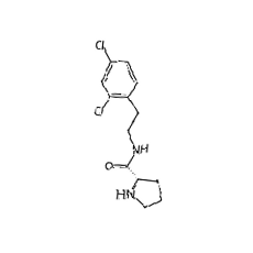 O=C(NCCc1ccc(Cl)cc1Cl)[C@@H]1CCCN1